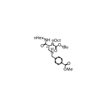 CCCCCCCCN(C(=O)OC(C)(C)C)[C@@H](CNCc1ccc(C(=O)OC)cc1)C(=O)NCCCCCC